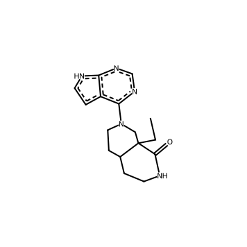 CCC12CN(c3ncnc4[nH]ccc34)CCC1CCNC2=O